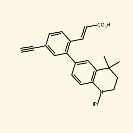 C#Cc1ccc(/C=C/C(=O)O)c(-c2ccc3c(c2)C(C)(C)CCN3C(C)C)c1